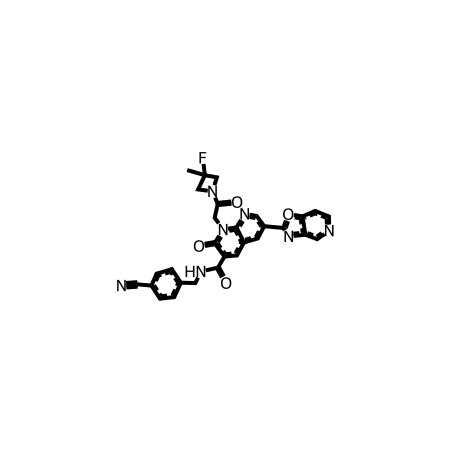 CC1(F)CN(C(=O)Cn2c(=O)c(C(=O)NCc3ccc(C#N)cc3)cc3cc(-c4nc5cnccc5o4)cnc32)C1